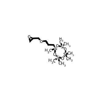 C[Si]1(C)O[Si](C)(C)O[Si](C)(CCCOCC2CO2)O[Si](C)(C)O1